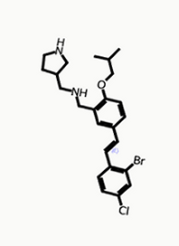 CC(C)COc1ccc(/C=C/c2ccc(Cl)cc2Br)cc1CNCC1CCNC1